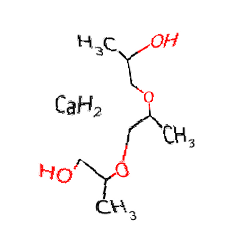 CC(O)COC(C)COC(C)CO.[CaH2]